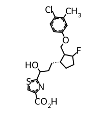 Cc1cc(OCC2C(F)CC[C@@H]2CCC(O)c2nc(C(=O)O)cs2)ccc1Cl